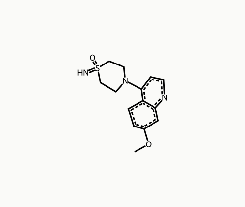 COc1ccc2c(N3CCS(=N)(=O)CC3)ccnc2c1